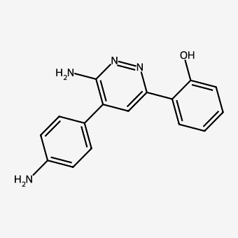 Nc1ccc(-c2cc(-c3ccccc3O)nnc2N)cc1